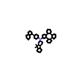 CC1(C)c2ccccc2C2C=CC(N(c3ccc(-c4cccc5ccccc45)cc3)c3ccc4c(c3)-c3ccccc3-c3ccccc3-c3ccccc3-4)=CC21